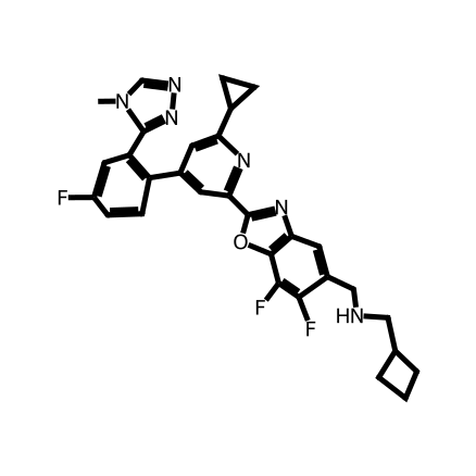 Cn1cnnc1-c1cc(F)ccc1-c1cc(-c2nc3cc(CNCC4CCC4)c(F)c(F)c3o2)nc(C2CC2)c1